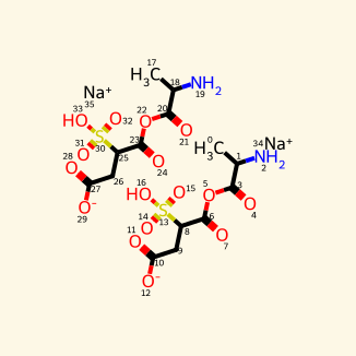 CC(N)C(=O)OC(=O)C(CC(=O)[O-])S(=O)(=O)O.CC(N)C(=O)OC(=O)C(CC(=O)[O-])S(=O)(=O)O.[Na+].[Na+]